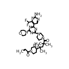 C=CC(=O)N1CCC(C(C)(C)CC(C)(C)C(=O)N2CCN(c3nc(-c4cnc(N)nc4C(F)F)nc(N4CCOCC4)n3)CC2)CC1